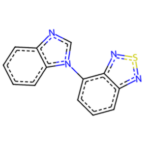 c1cc(-n2cnc3ccccc32)c2nsnc2c1